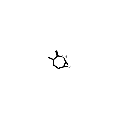 C=C1NC2OC2CCC1C